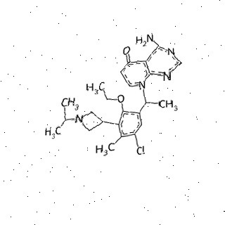 CCOc1c(C(C)n2ccc(=O)c3c(N)ncnc32)cc(Cl)c(C)c1C1CN(C(C)C)C1